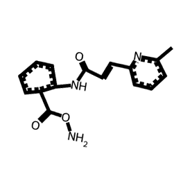 Cc1cccc(/C=C/C(=O)Nc2ccccc2C(=O)ON)n1